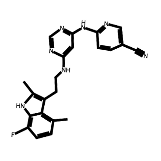 Cc1[nH]c2c(F)ccc(C)c2c1CCNc1cc(Nc2ccc(C#N)cn2)ncn1